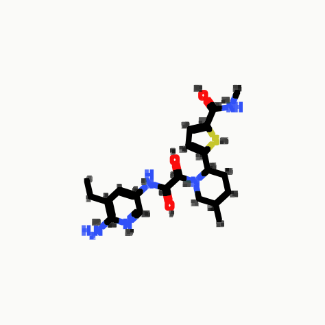 CCc1cc(NC(=O)C(=O)N2CC(C)CCC2c2ccc(C(=O)NC)s2)cnc1N